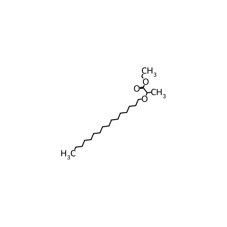 CCCCCCCCCCCCCCCCOC(C)C(=O)OCC